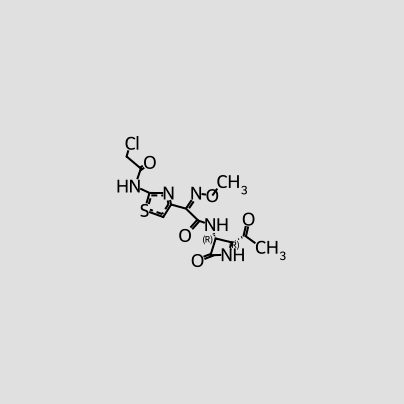 CON=C(C(=O)N[C@H]1C(=O)N[C@H]1C(C)=O)c1csc(NC(=O)CCl)n1